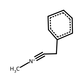 C[N+]#CCc1ccccc1